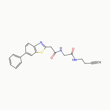 C#CCCNC(=O)CNC(=O)Cc1nc2ccc(-c3ccccc3)cc2s1